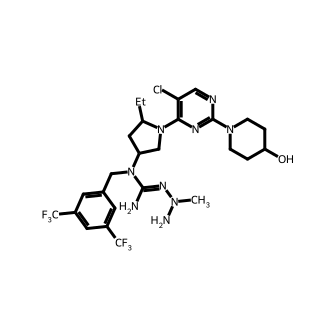 CCC1CC(N(Cc2cc(C(F)(F)F)cc(C(F)(F)F)c2)/C(N)=N/N(C)N)CN1c1nc(N2CCC(O)CC2)ncc1Cl